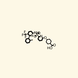 Cc1ccccc1-c1nc(NS(=O)(=O)c2cccc(OC3CCC(C(=O)O)CC3)n2)ccc1C(F)(F)F